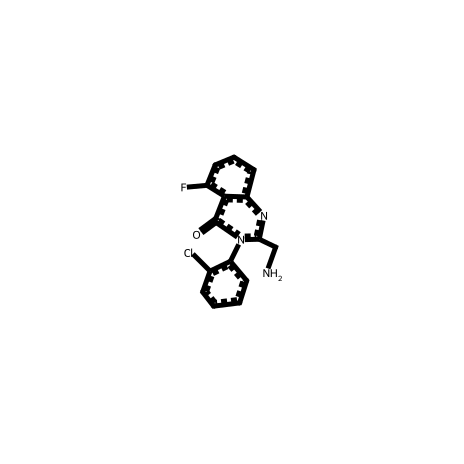 NCc1nc2cccc(F)c2c(=O)n1-c1ccccc1Cl